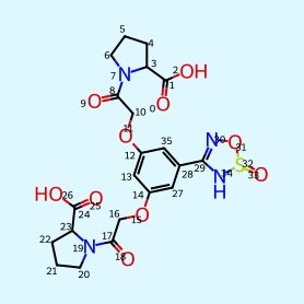 O=C(O)C1CCCN1C(=O)COc1cc(OCC(=O)N2CCCC2C(=O)O)cc(C2=NOS(=O)N2)c1